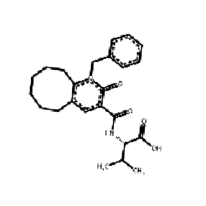 CC(C)[C@H](NC(=O)c1cc2c(n(Cc3ccccc3)c1=O)CCCCCC2)C(=O)O